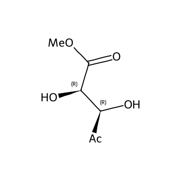 COC(=O)[C@H](O)[C@@H](O)C(C)=O